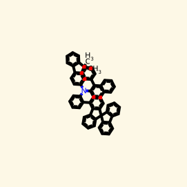 CC1(C)c2ccccc2-c2ccc(N(c3ccccc3-c3cccc4c3-c3ccccc3C43c4ccccc4-c4ccccc43)c3ccc4ccccc4c3-c3ccccc3)cc21